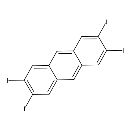 Ic1cc2cc3cc(I)c(I)cc3cc2cc1I